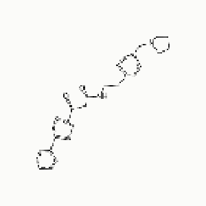 O=C(CC(=O)c1ccc(-c2ccccc2)cc1)NCCc1ccc(CN2CCCC2)cc1